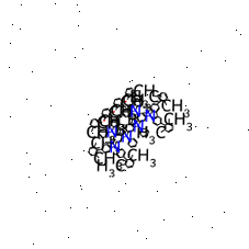 Cc1cccc(C)c1-c1ccc(N(c2ccc(-c3c(C)cccc3C)cc2)c2cc3c4c(c2)N(c2ccccc2)c2cc5c(cc2B4c2ccc(-c4c(C)cccc4C)cc2N3c2cccc(-c3c(C)cccc3C)c2)B2c3ccc(-c4c(C)cccc4C)cc3N(c3cccc(-c4c(C)cccc4C)c3)c3cc(-n4c6ccc(-c7c(C)cccc7C)cc6c6cc(-c7c(C)cccc7C)ccc64)cc(c32)N5c2ccccc2)cc1